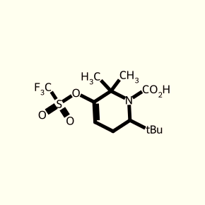 CC(C)(C)C1CC=C(OS(=O)(=O)C(F)(F)F)C(C)(C)N1C(=O)O